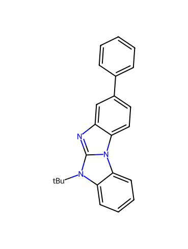 CC(C)(C)n1c2ccccc2n2c3ccc(-c4ccccc4)cc3nc12